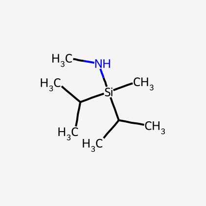 CN[Si](C)(C(C)C)C(C)C